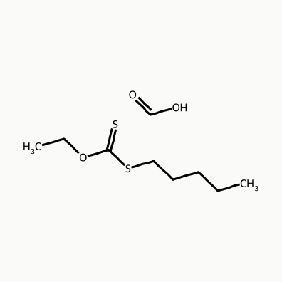 CCCCCSC(=S)OCC.O=CO